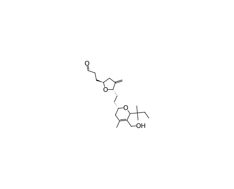 C=C1C[C@H](CCC=O)O[C@H]1CC[C@H]1CC(C)=C(CO)C(C(C)(C)CC)O1